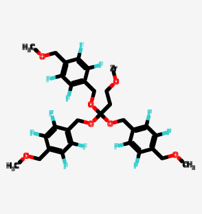 COCc1c(F)c(F)c(COC(CC[O][Zr])(OCc2c(F)c(F)c(COC)c(F)c2F)OCc2c(F)c(F)c(COC)c(F)c2F)c(F)c1F